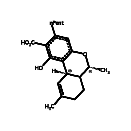 CCCCCc1cc2c(c(O)c1C(=O)O)[C@@H]1C=C(C)CCC1[C@@H](C)O2